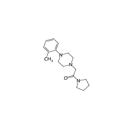 Cc1ccccc1N1CCN(CC(=O)N2CCCC2)CC1